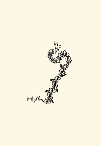 C=C[Si](C)(OO[Si](C)(C=C)OO[Si](C)(C=C)OO[Si](C)(C=C)O[Si](C)(C)CCCN)OO[Si](C)(C=C)OO[Si](C)(C=C)OO[Si](C)(C=C)O[Si](C)(C)O[Si](C)(C)O[Si](C)(C)O[Si](C)(C)O[Si](C)(C)O[Si](C)(C)O[Si](C)(C)CN